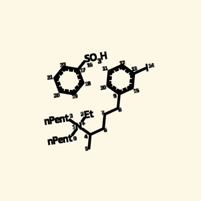 CCCCC[N+](CC)(CCCCC)C(C)CCCc1cccc(I)c1.O=S(=O)(O)c1ccccc1